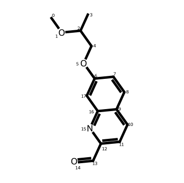 COC(C)COc1ccc2ccc(C=O)nc2c1